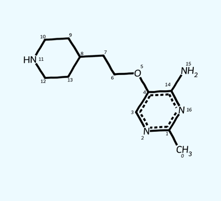 Cc1ncc(OCCC2CCNCC2)c(N)n1